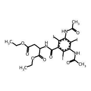 CCOC(=O)CC(NC(=O)c1c(I)c(NC(C)=O)c(I)c(NC(C)=O)c1I)C(=O)OCC